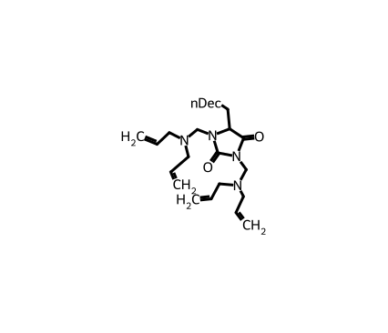 C=CCN(CC=C)CN1C(=O)C(CCCCCCCCCCC)N(CN(CC=C)CC=C)C1=O